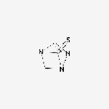 S=c1n2cnn1C2